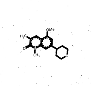 COc1cc(C2CCOCC2)cc2c1cc(C)c(=O)n2C